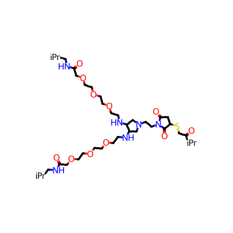 CC(C)CNC(=O)COCCOCCOCCNC1CN(CCN2C(=O)CC(SCC(=O)C(C)C)C2=O)CC1NCCOCCOCCOCC(=O)NCC(C)C